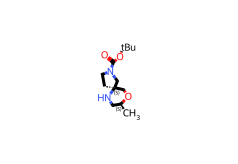 C[C@H]1CN[C@]2(CCN(C(=O)OC(C)(C)C)C2)CO1